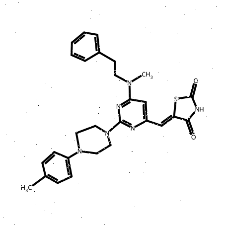 Cc1ccc(N2CCN(c3nc(/C=C4\SC(=O)NC4=O)cc(N(C)CCc4ccccc4)n3)CC2)cc1